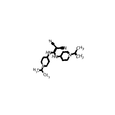 CC(C)N1CCC(NC(NC2CCN(C(C)C)CC2)=C(C#N)C#N)CC1